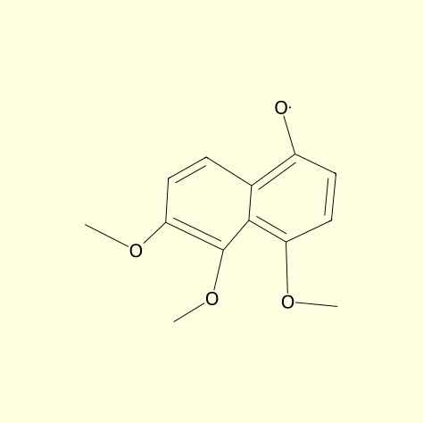 COc1ccc2c([O])ccc(OC)c2c1OC